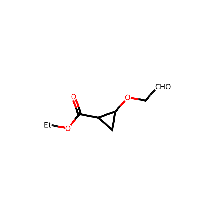 CCOC(=O)C1CC1OCC=O